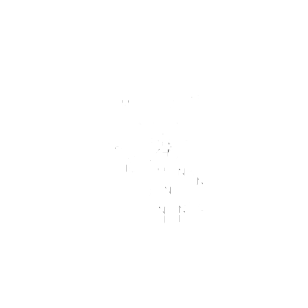 COc1ccc(C(OC[C@@](CO)(CO[Si](C(C)C)(C(C)C)C(C)C)O[C@H](CO)n2cnc3c(=O)[nH]c(NC(=O)C(C)C)nc32)(c2ccccc2)c2ccc(OC)cc2)cc1